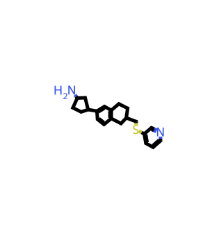 NC1CCC(c2ccc3c(c2)CCC(CSc2cccnc2)C3)C1